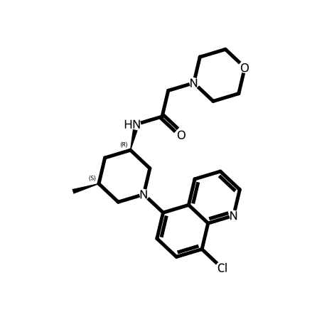 C[C@H]1C[C@@H](NC(=O)CN2CCOCC2)CN(c2ccc(Cl)c3ncccc23)C1